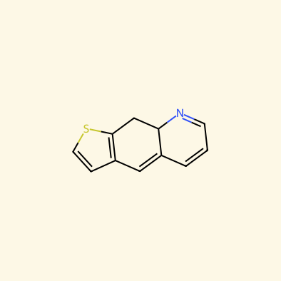 C1=CC2=Cc3ccsc3CC2N=C1